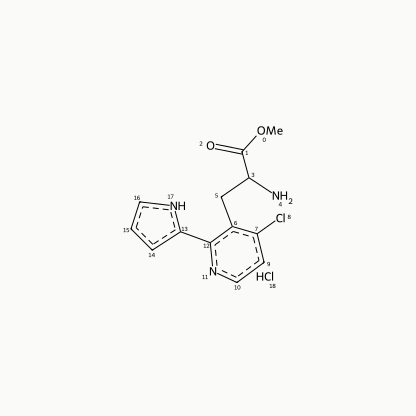 COC(=O)C(N)Cc1c(Cl)ccnc1-c1ccc[nH]1.Cl